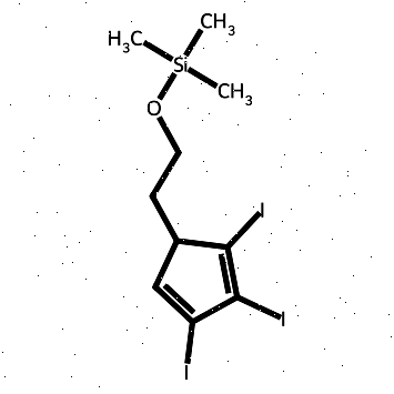 C[Si](C)(C)OCCC1C=C(I)C(I)=C1I